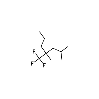 CCCC(C)(CC(C)C)C(F)(F)F